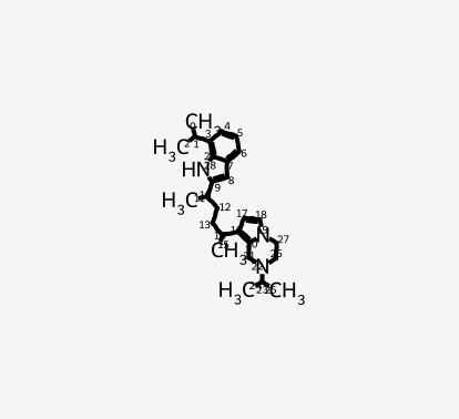 CC(C)c1cccc2cc(C(C)CCC(C)c3ccn4c3CN(C(C)C)CC4)[nH]c12